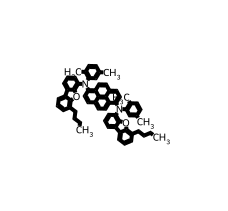 CCCCc1cccc2c1oc1c(N(c3cc(C)ccc3C)c3ccc4ccc5c(N(c6cc(C)ccc6C)c6cccc7c6oc6c(CCCC)cccc67)ccc6ccc3c4c65)cccc12